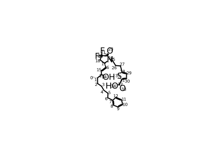 C[C@@H](CCCCCc1ccccc1)[C@H](O)/C=C/[C@H]1CC(F)(F)C(=O)N1CCCc1ccc(C(=O)O)s1